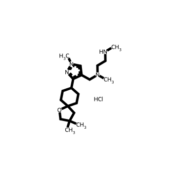 CNCCN(C)Cc1cn(C)nc1C1CCC2(CC1)CC(C)(C)CO2.Cl